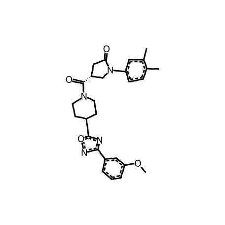 COc1cccc(-c2noc(C3CCN(C(=O)[C@@H]4CC(=O)N(c5ccc(C)c(C)c5)C4)CC3)n2)c1